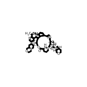 CCO[C@@H]1c2nc(cs2)-c2ccc3c(c2)c(c(-c2cc([C@@H]4CCN5CCOCC5C4)cnc2[C@H](C)OC)n3CC)CC(C)(C)COC(=O)[C@@H]2CCCN(N2)C(=O)[C@H]1NC(=O)N1C[C@H]2CCOC[C@H]21